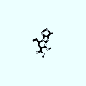 C=CC(CC(C(=O)OC)C(=O)OC)n1cnc2c(I)ncnc21